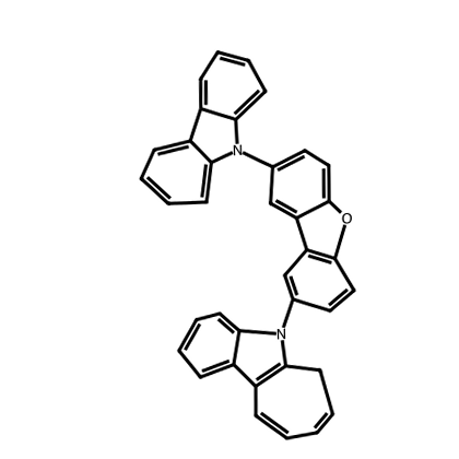 C1=CCc2c(c3ccccc3n2-c2ccc3oc4ccc(-n5c6ccccc6c6ccccc65)cc4c3c2)C=C1